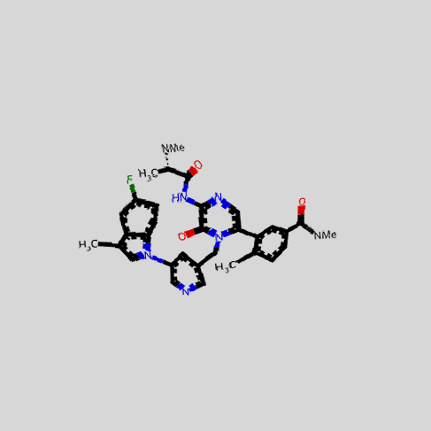 CNC(=O)c1ccc(C)c(-c2cnc(NC(=O)[C@H](C)NC)c(=O)n2Cc2cncc(-n3cc(C)c4cc(F)ccc43)c2)c1